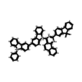 CC1(C)c2ccccc2-c2ccc(-c3nc(-n4c5ccccc5c5cc(-c6ccc7c(c6)c6ccccc6n7-c6ccccc6)ccc54)c4ccc5ccccc5c4n3)cc21